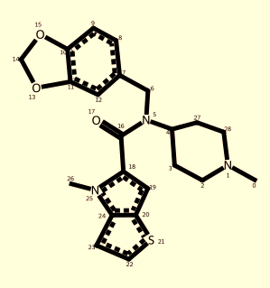 CN1CCC(N(Cc2ccc3c(c2)OCO3)C(=O)c2cc3sccc3n2C)CC1